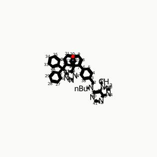 CCCCN(Cc1ccc(-c2ccccc2-c2nnnn2C(c2ccccc2)(c2ccccc2)c2ccccc2)cc1)c1ncnc2nnn(C)c12